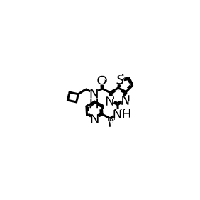 C[C@H](Nc1nc(C(=O)NCC2CCC2)c2sccc2n1)c1ccccn1